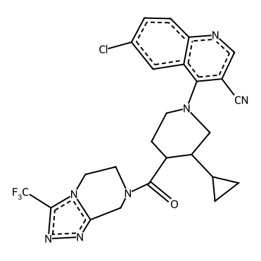 N#Cc1cnc2ccc(Cl)cc2c1N1CCC(C(=O)N2CCn3c(nnc3C(F)(F)F)C2)C(C2CC2)C1